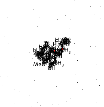 [2H]C([2H])([2H])C1=C(C=CC(C)=CC=CC(C)=CC(=O)Nc2ccc(O)cc2)C(C)(C)CCC1([2H])[2H].[2H]C([2H])([2H])C1=C(C=CC(C)=CC=CC(C)=CC(=O)Nc2ccc(OC)cc2)C(C)(C)CCC1([2H])[2H].[2H]C([2H])([2H])C1=C(C=CC(C)=CC=CC(C)=CC(=O)Nc2cccc3ccccc23)C(C)(C)CCC1([2H])[2H].[2H]C([2H])([2H])C1=C(C=CC(C)=CC=CC(C)=CC(N)=O)C(C)(C)CCC1([2H])[2H]